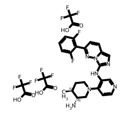 C[C@H]1CCN(c2ccncc2Nc2ncc3ccc(-c4c(F)cccc4F)nn23)C[C@@H]1N.O=C(O)C(F)(F)F.O=C(O)C(F)(F)F.O=C(O)C(F)(F)F